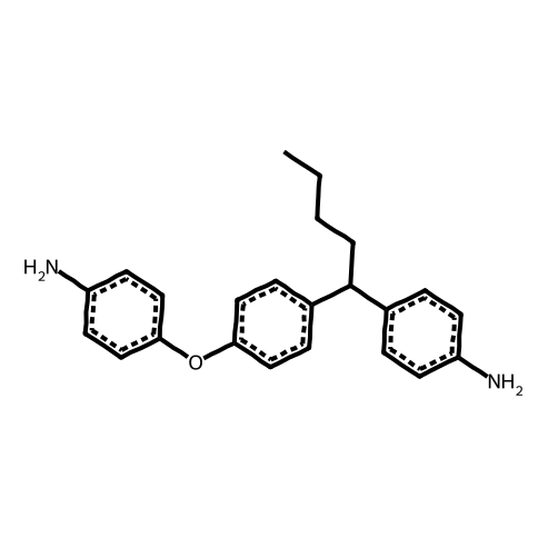 CCCCC(c1ccc(N)cc1)c1ccc(Oc2ccc(N)cc2)cc1